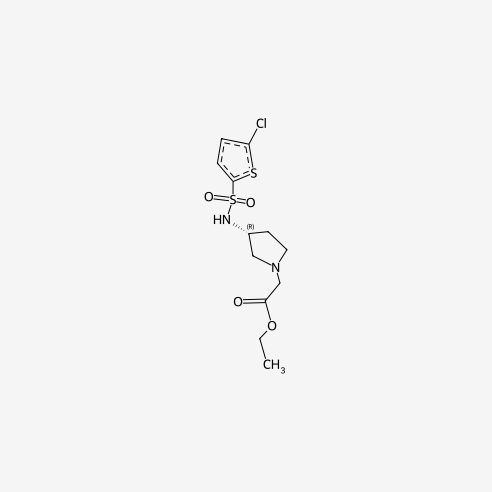 CCOC(=O)CN1CC[C@@H](NS(=O)(=O)c2ccc(Cl)s2)C1